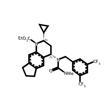 CCOC(=O)N1c2cc3c(cc2[C@@H](N(Cc2cc(C(F)(F)F)cc(C(F)(F)F)c2)C(=O)NC)C[C@H]1C1CC1)CCC3